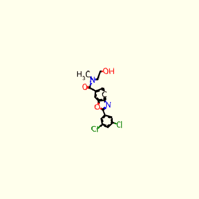 CN(CCO)C(=O)c1ccc2nc(-c3cc(Cl)cc(Cl)c3)oc2c1